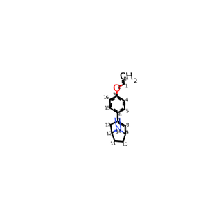 C=COc1ccc(C2=CC3CCC(C2)N3)cc1